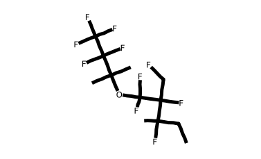 CCC(C)(F)C(F)(CF)C(F)(F)OC(C)(C)C(F)(F)C(F)(F)F